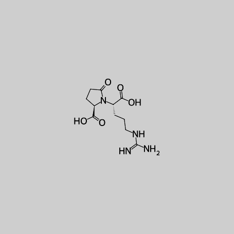 N=C(N)NCCC[C@@H](C(=O)O)N1C(=O)CC[C@@H]1C(=O)O